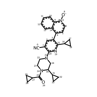 N#Cc1cc(-c2cc[n+]([O-])c3ccccc23)c(C2CC2)nc1N1CCN(C(=O)C2CC2)C(C2CC2)C1